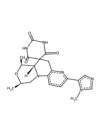 C[C@@H]1CN2c3ccc(-c4cncn4C)nc3CC3(C(=O)NC(=O)NC3=O)[C@H]2[C@H](C)O1